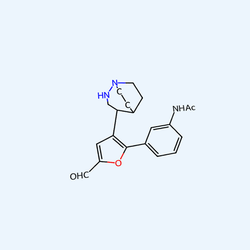 CC(=O)Nc1cccc(-c2oc(C=O)cc2C2CNN3CCC2CC3)c1